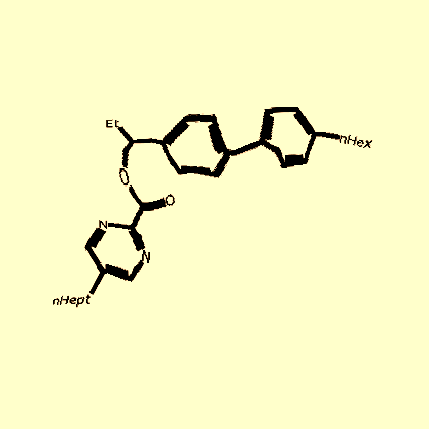 CCCCCCCc1cnc(C(=O)OC(CC)c2ccc(-c3ccc(CCCCCC)cc3)cc2)nc1